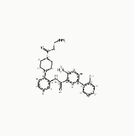 NCCC(=O)N1CCN(c2ccncc2NC(=O)c2nc(-c3ccccc3F)ccc2N)CC1